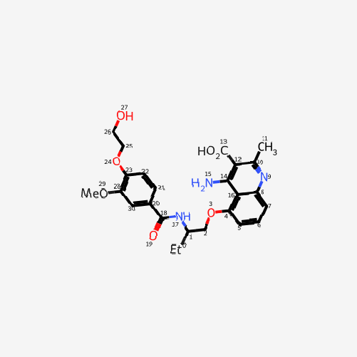 CCC(COc1cccc2nc(C)c(C(=O)O)c(N)c12)NC(=O)c1ccc(OCCO)c(OC)c1